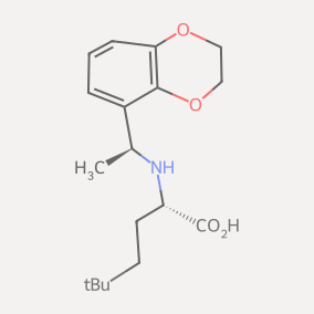 C[C@H](N[C@@H](CCC(C)(C)C)C(=O)O)c1cccc2c1OCCO2